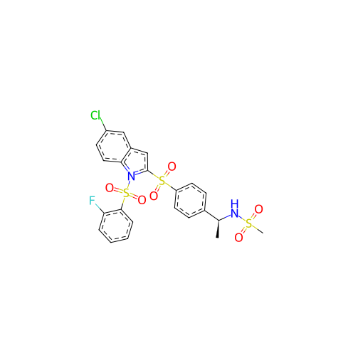 C[C@H](NS(C)(=O)=O)c1ccc(S(=O)(=O)c2cc3cc(Cl)ccc3n2S(=O)(=O)c2ccccc2F)cc1